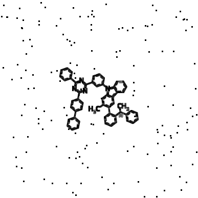 Cc1cc2c(cc1-c1ccccc1[C@@H](C)c1ccccc1)c1ccccc1n2-c1cccc(-c2nc(-c3ccccc3)nc(-c3ccc(-c4ccccc4)cc3)n2)c1